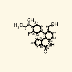 CCC(C)c1ccc(-c2c(CO)ccc3[nH]c(=O)c4sccc4c23)cc1F